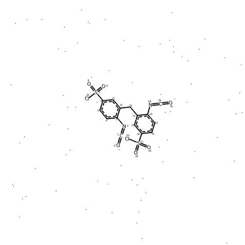 O=C=Nc1ccc(S(=O)(=O)Cl)cc1Cc1cc(S(=O)(=O)Cl)ccc1N=C=O